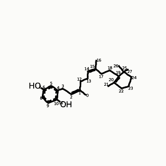 CC(=CCc1cc(O)ccc1O)CCC=C(C)CCC1=C(C)CCCC1(C)C